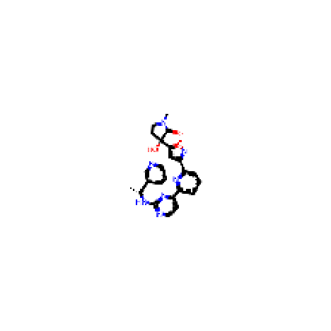 C[C@@H](Nc1nccc(-c2cccc(-c3cc([C@]4(O)CCN(C)C4=O)on3)n2)n1)c1cccnc1